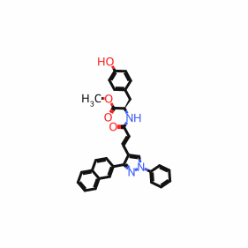 COC(=O)[C@@H](Cc1ccc(O)cc1)NC(=O)/C=C/c1cn(-c2ccccc2)nc1-c1ccc2ccccc2c1